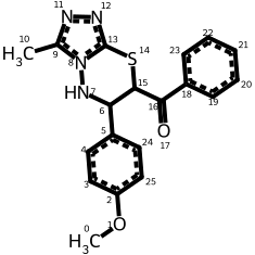 COc1ccc(C2Nn3c(C)nnc3SC2C(=O)c2ccccc2)cc1